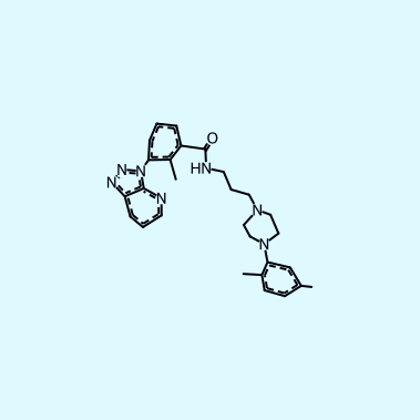 Cc1ccc(C)c(N2CCN(CCCNC(=O)c3cccc(-n4nnc5cccnc54)c3C)CC2)c1